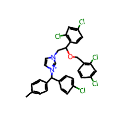 Cc1ccc(C(c2ccc(Cl)cc2)[n+]2ccn(CC(OCc3ccc(Cl)cc3Cl)c3ccc(Cl)cc3Cl)c2)cc1